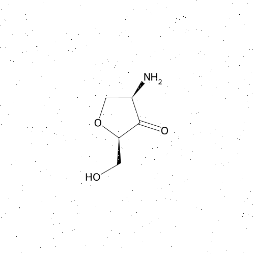 N[C@@H]1CO[C@H](CO)C1=O